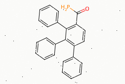 O=C(P)c1ccc(-c2ccccc2)c(-c2ccccc2)c1-c1ccccc1